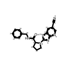 N#Cc1cnc2nc(N3CCCC3C(=O)NCc3ccccc3)sc2c1